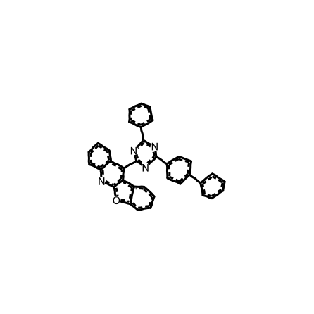 c1ccc(-c2ccc(-c3nc(-c4ccccc4)nc(-c4c5ccccc5nc5oc6ccccc6c45)n3)cc2)cc1